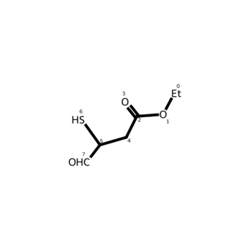 CCOC(=O)CC(S)C=O